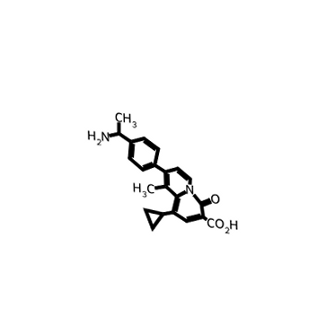 Cc1c(-c2ccc(C(C)N)cc2)ccn2c(=O)c(C(=O)O)cc(C3CC3)c12